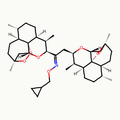 C[C@H]1[C@@H](/C(C[C@H]2O[C@@H]3C[C@]4(C)CC[C@H]5[C@H](C)CC[C@@H]([C@H]2C)[C@@]35OO4)=N\OCC2CC2)O[C@@H]2C[C@]3(C)CC[C@H]4[C@H](C)CC[C@@H]1[C@@]24OO3